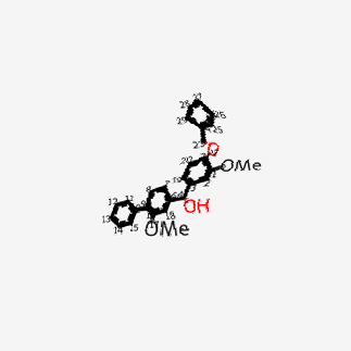 COc1cc(C(O)c2ccc(-c3ccccc3)c(OC)c2)ccc1OCc1ccccc1